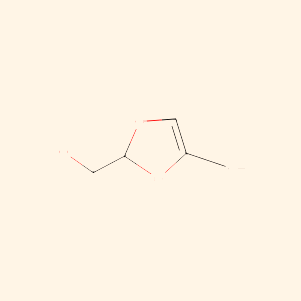 CC1=COC(CO)O1